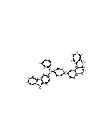 c1ccc(N(c2ccc(-c3ccc4ccc5oc6cnccc6c5c4c3)cc2)c2ccc3oc4ccccc4c3c2)cc1